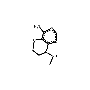 CNN1CCOc2c(N)ncnc21